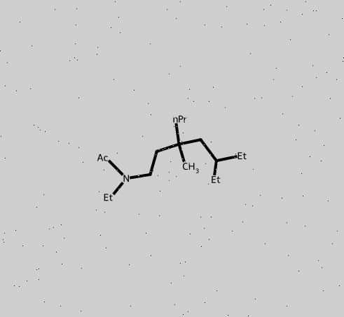 CCCC(C)(CCN(CC)C(C)=O)CC(CC)CC